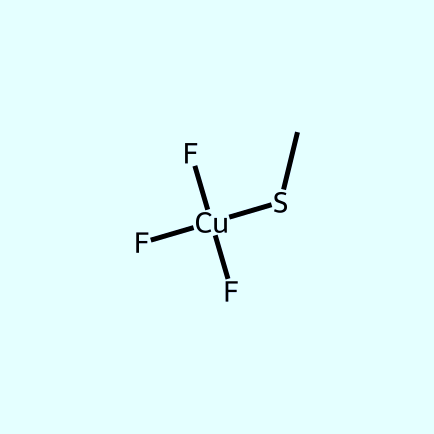 C[S][Cu]([F])([F])[F]